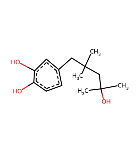 CC(C)(O)CC(C)(C)Cc1ccc(O)c(O)c1